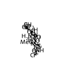 CON=C(C(=O)N[C@@H]1C(=O)N[C@@H]1C(N)C(=O)OCCS(C)(=O)=O)c1csc(NC(=O)CCl)n1